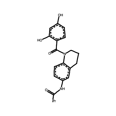 CC(C)C(=O)Nc1ccc2c(c1)CCCN2C(=O)c1ccc(O)cc1O